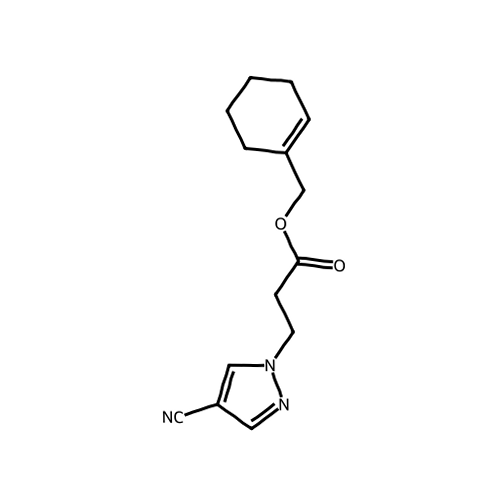 N#Cc1cnn(CCC(=O)OCC2=CCCCC2)c1